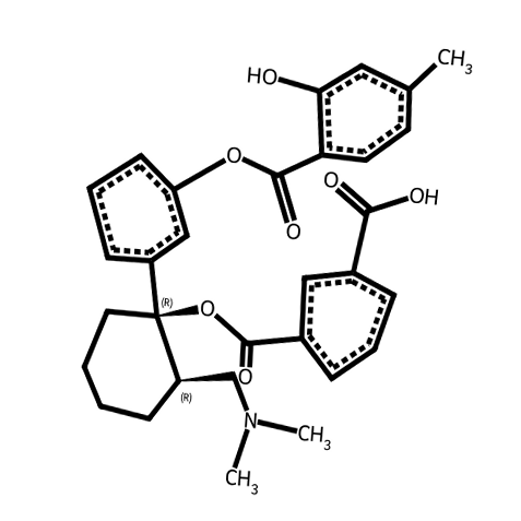 Cc1ccc(C(=O)Oc2cccc([C@@]3(OC(=O)c4cccc(C(=O)O)c4)CCCC[C@@H]3CN(C)C)c2)c(O)c1